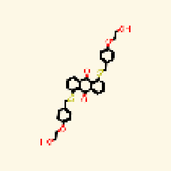 O=C1c2cccc(SCc3ccc(OCCO)cc3)c2C(=O)c2cccc(SCc3ccc(OCCO)cc3)c21